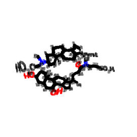 CCC[C@@H](C)[C@H]1CCC2C3CCC4CC(N(C)CC(=O)O)CC[C@]4(C)C3CC[C@@]21C.CCN(CCS(=O)(=O)O)C(=O)CC[C@@H](C)[C@H]1CCC2C3C(CC[C@@]21C)[C@@]1(C)CC[C@@H](O)CC1C[C@@H]3O